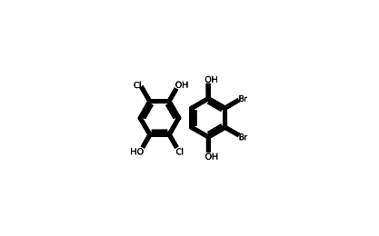 Oc1cc(Cl)c(O)cc1Cl.Oc1ccc(O)c(Br)c1Br